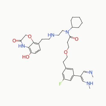 C/N=C\C(=C/NC)c1cc(F)cc(CCOCCC(=O)N(CCNCCc2ccc(O)c3c2OCC(=O)N3)C2CCCCC2)c1